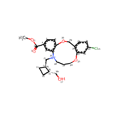 COC(=O)c1ccc2c(c1)N(C[C@@H]1CC[C@H]1CO)CCCOc1cc(Cl)ccc1CO2